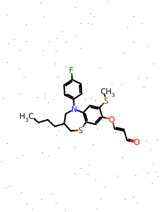 CCCCC1CSc2cc(O/C=C/C=O)c(SC)cc2N(c2ccc(F)cc2)C1